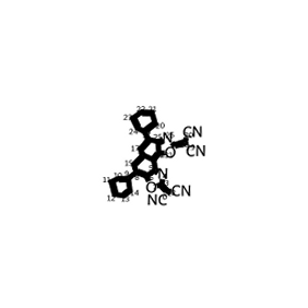 N#CC(C#N)=c1nc2c(o1)c(-c1ccccc1)cc1cc(-c3ccccc3)c3nc(=C(C#N)C#N)oc3c12